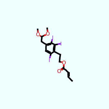 CC=CC(=O)OCCc1c(I)cc(CC(OC)OC)c(I)c1I